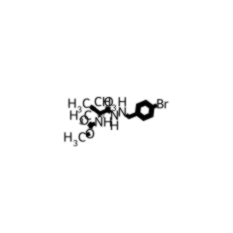 COC(=O)N[C@H](C(=O)NNCc1ccc(Br)cc1)C(C)(C)C